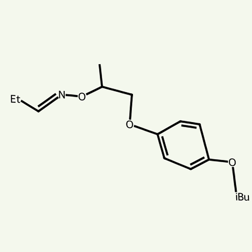 CCC=NOC(C)COc1ccc(OC(C)CC)cc1